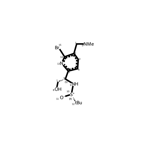 CNCc1ccc([C@@H](CO)N[S@@+]([O-])C(C)(C)C)nc1Br